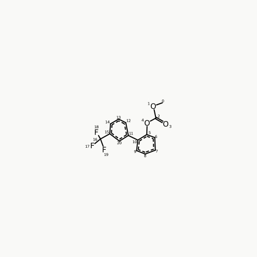 COC(=O)Oc1ccccc1-c1cccc(C(F)(F)F)c1